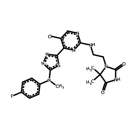 CN(c1ccc(F)cc1)c1nnc(-c2nc(NCCN3C(=O)NC(=O)C3(C)C)ncc2Cl)s1